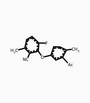 CC(=O)c1cc(Oc2c(F)ccc(C)c2C#N)ccc1C